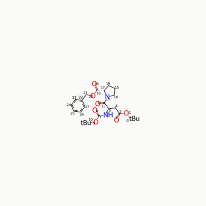 CC(C)(C)OC(=O)CC(NC(=O)OC(C)(C)C)C(=O)N1CCC[C@H]1C(=O)OCc1ccccc1